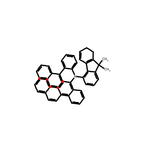 CC1(C)C2=C(C=CCC2)c2c(N(c3ccccc3-c3cccc4ccccc34)c3cc4c5ccccc5ccc4c4ccccc34)cccc21